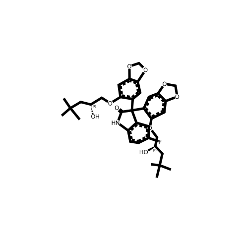 CC(C)(C)C[C@@H](O)COc1cc2c(cc1C1(c3cc4c(cc3OC[C@H](O)CC(C)(C)C)OCO4)C(=O)Nc3ccc(F)cc31)OCO2